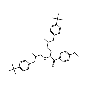 CSc1ccc(C(=O)C(OCC(C)Cc2ccc(C(C)(C)C)cc2)OCC(C)Cc2ccc(C(C)(C)C)cc2)cc1